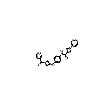 O=C(Nc1ccc(OC2CN(C(=O)c3ccoc3)C2)cc1)C1CN(c2ccnnc2)C1